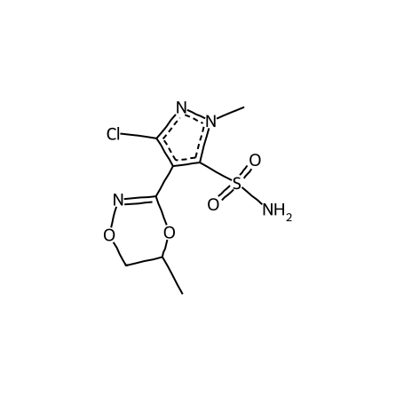 CC1CON=C(c2c(Cl)nn(C)c2S(N)(=O)=O)O1